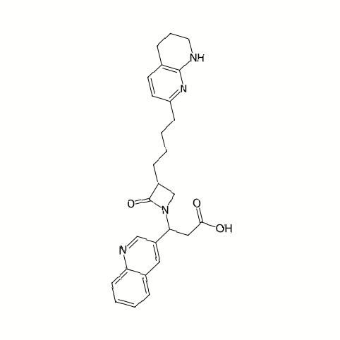 O=C(O)CC(c1cnc2ccccc2c1)N1CC(CCCCc2ccc3c(n2)NCCC3)C1=O